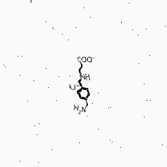 NCc1ccc(CNCCC(=O)[O-])cc1.[Li+]